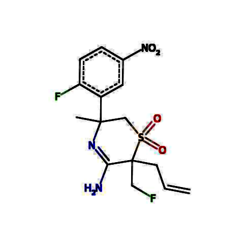 C=CCC1(CF)C(N)=NC(C)(c2cc([N+](=O)[O-])ccc2F)CS1(=O)=O